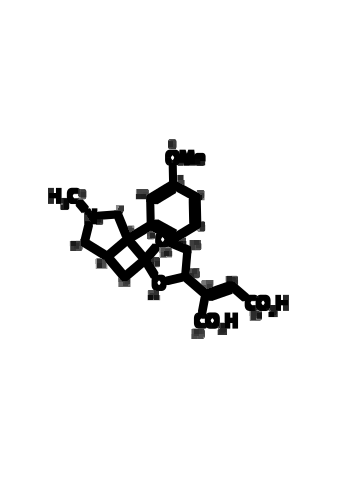 COc1cccc(C23CN(C)CC2CC32OCC(C(=CC(=O)O)C(=O)O)O2)c1